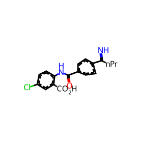 CCCC(=N)c1ccc(C(=O)Nc2ccc(Cl)cc2C(=O)O)cc1